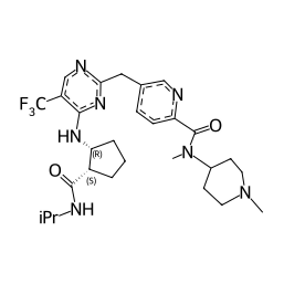 CC(C)NC(=O)[C@H]1CCC[C@H]1Nc1nc(Cc2ccc(C(=O)N(C)C3CCN(C)CC3)nc2)ncc1C(F)(F)F